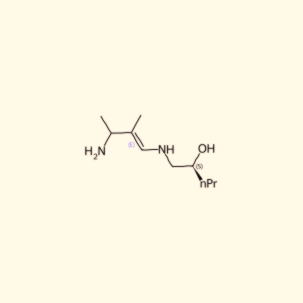 CCC[C@H](O)CN/C=C(\C)C(C)N